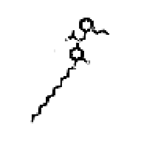 CCCCCCCCCCCCOc1ccc(N(Cc2cccc[n+]2CCC)C(C)=O)cc1Cl.[I-]